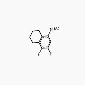 CC(=O)Nc1cc(F)c(F)c2c1CCCC2